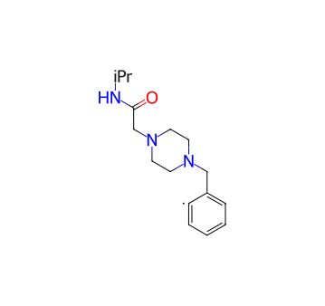 CC(C)NC(=O)CN1CCN(Cc2[c]cccc2)CC1